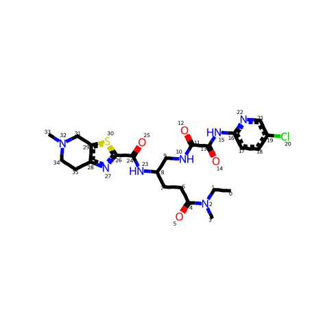 CCN(C)C(=O)CCC(CNC(=O)C(=O)Nc1ccc(Cl)cn1)NC(=O)c1nc2c(s1)CN(C)CC2